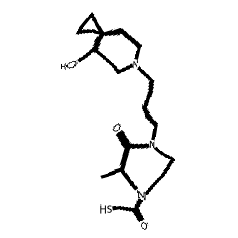 CC1C(=O)N(CCCN2CCC3(CC3)C(O)C2)CCN1C(=O)S